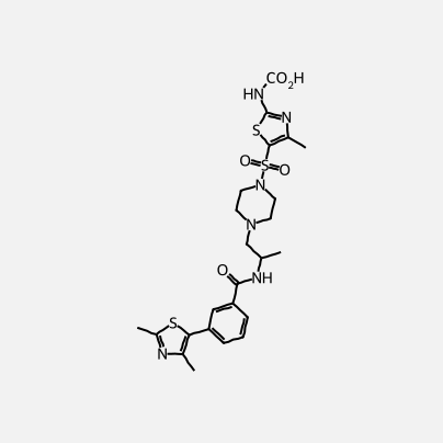 Cc1nc(C)c(-c2cccc(C(=O)NC(C)CN3CCN(S(=O)(=O)c4sc(NC(=O)O)nc4C)CC3)c2)s1